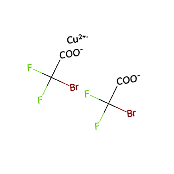 O=C([O-])C(F)(F)Br.O=C([O-])C(F)(F)Br.[Cu+2]